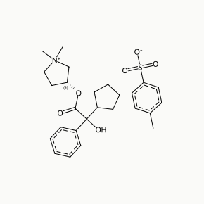 C[N+]1(C)CC[C@@H](OC(=O)C(O)(c2ccccc2)C2CCCC2)C1.Cc1ccc(S(=O)(=O)[O-])cc1